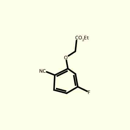 CCOC(=O)COc1cc(F)ccc1C#N